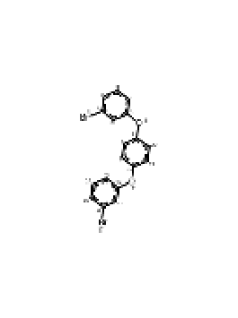 Brc1cccc(Oc2ccc(Oc3cccc(Br)c3)cc2)c1